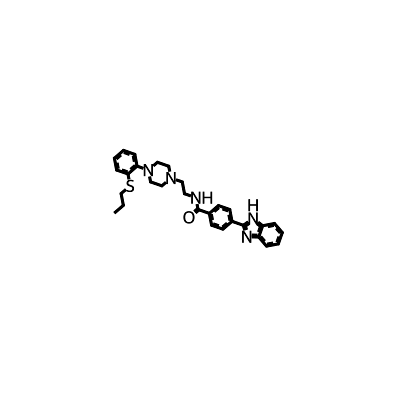 CCCSc1ccccc1N1CCN(CCNC(=O)c2ccc(-c3nc4ccccc4[nH]3)cc2)CC1